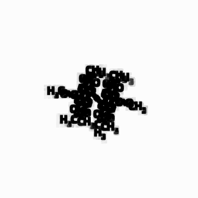 CCC(CC)N1C(=O)c2ccc3c4c(OCCOC)cc5c6c(ccc(c7c(C#Cc8cc9c%10c(ccc%11c%12c(OCCOC)cc%13c%14c(ccc(c8c%10%11)c%14%12)C(=O)N(C(CC)CC)C%13=O)C(=O)N(C(CC)CC)C9=O)cc(c2c37)C1=O)c64)C(=O)N(C(CC)CC)C5=O